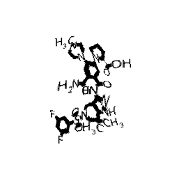 CN1CCN(c2cc(C(N)=O)c(C(=O)Nc3n[nH]c4c3CN(S(=O)(=O)c3cc(F)cc(F)c3)CC4(C)C)cc2N2CCC[C@@H]2C(=O)O)CC1